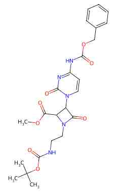 COC(=O)C1C(n2ccc(NC(=O)OCc3ccccc3)nc2=O)C(=O)N1CCNC(=O)OC(C)(C)C